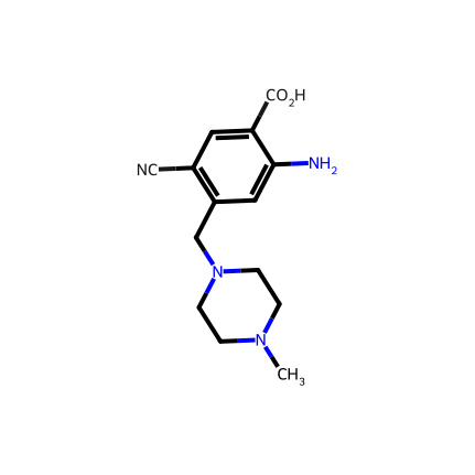 CN1CCN(Cc2cc(N)c(C(=O)O)cc2C#N)CC1